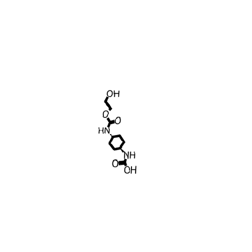 O=C(O)N[C@H]1CC[C@H](NC(=O)OCCO)CC1